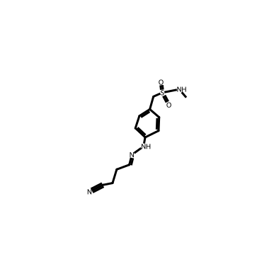 CNS(=O)(=O)Cc1ccc(NN=CCCC#N)cc1